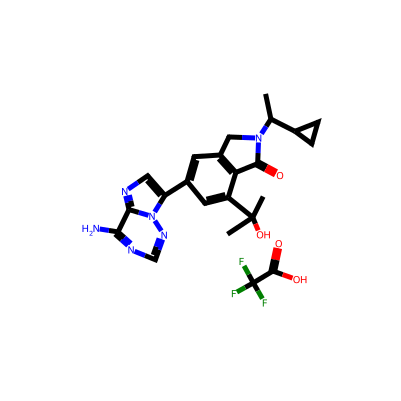 CC(C1CC1)N1Cc2cc(-c3cnc4c(N)ncnn34)cc(C(C)(C)O)c2C1=O.O=C(O)C(F)(F)F